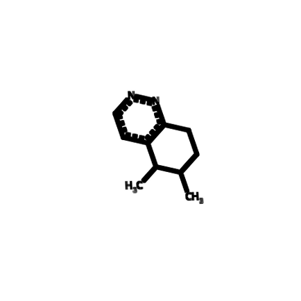 CC1CCc2nnccc2C1C